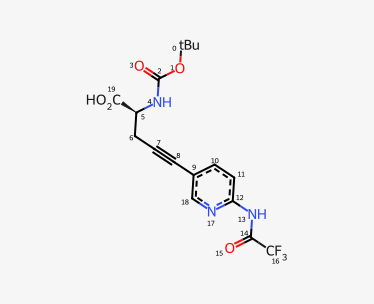 CC(C)(C)OC(=O)N[C@@H](CC#Cc1ccc(NC(=O)C(F)(F)F)nc1)C(=O)O